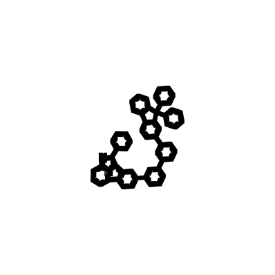 c1ccc(-c2nc3cccc4c5ccc(-c6cccc(-c7cccc(-c8ccc9c(c8)C(c8ccccc8)(c8ccccc8)c8ccccc8-9)c7)c6)cc5c2n34)cc1